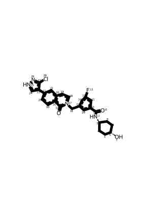 O=C(N[C@H]1CC[C@@H](O)CC1)c1cc(F)cc(Cn2ccc3cc(-c4c[nH]nc4Cl)ccc3c2=O)c1